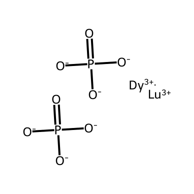 O=P([O-])([O-])[O-].O=P([O-])([O-])[O-].[Dy+3].[Lu+3]